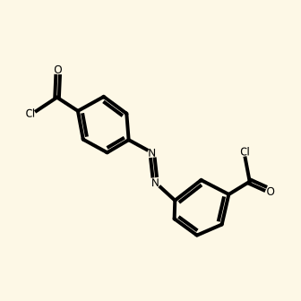 O=C(Cl)c1ccc(N=Nc2cccc(C(=O)Cl)c2)cc1